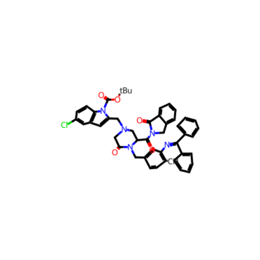 CC(C)(C)OC(=O)n1c(CN2CC(=O)N(Cc3ccc(C#N)c(N=C(c4ccccc4)c4ccccc4)c3)C(C(=O)N3Cc4ccccc4C3=O)C2)cc2cc(Cl)ccc21